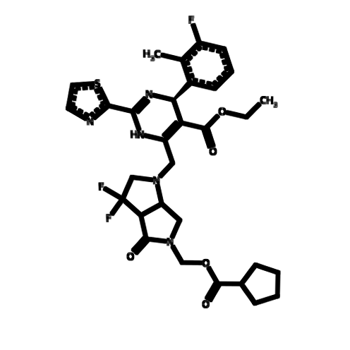 CCOC(=O)C1=C(CN2CC(F)(F)C3C(=O)N(COC(=O)C4CCCC4)CC32)NC(c2nccs2)=N[C@H]1c1cccc(F)c1C